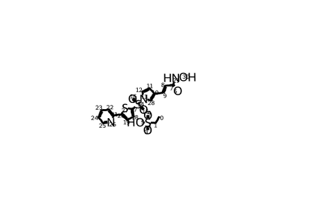 CCS(=O)(=O)O.O=C(/C=C/c1ccn(S(=O)(=O)c2ccc(-c3ccccn3)s2)c1)NO